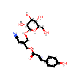 N#C/C=C(/COC(=O)/C=C/c1ccc(O)cc1)CO[C@@H]1O[C@H](CO)[C@@H](O)[C@H](O)[C@H]1O